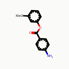 COc1cccc(OC(=O)c2ccc(N)cc2)c1